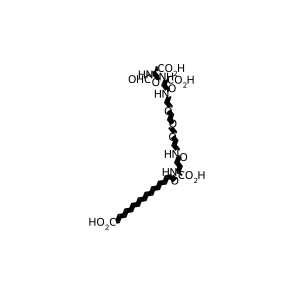 O=CN[C@@H](CC(=O)O)C(=O)N[C@@H](CC(=O)NCCCOCCOCCOCCCNC(=O)CC[C@H](NC(=O)CCCCCCCCCCCCCCCCC(=O)O)C(=O)O)C(=O)O